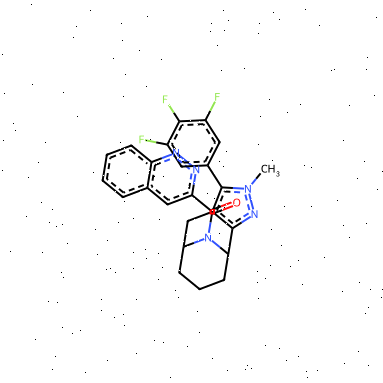 Cn1nc2c(c1-c1cc(F)c(F)c(F)c1)CC1CCCC2N1C(=O)c1cc2ccccc2nn1